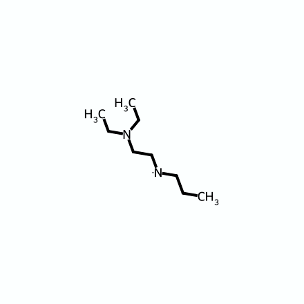 CCC[N]CCN(CC)CC